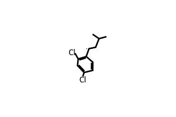 CC(C)C[CH]c1ccc(Cl)cc1Cl